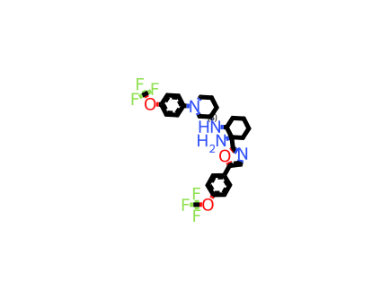 NC1(c2ncc(-c3ccc(OC(F)(F)F)cc3)o2)CCCCC1N[C@H]1CCCN(c2ccc(OC(F)(F)F)cc2)C1